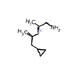 C=C(/C=C(\C)CN)CC1CC1